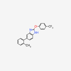 Cc1ccccc1-c1ccc2[nH]c(Oc3ccc(C(F)(F)F)cc3)nc2c1